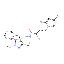 CN1N=C2CCN(C(=O)C(N)CCc3ccc(Br)cc3Cl)C[C@@]2(Cc2ccccc2)C1=O